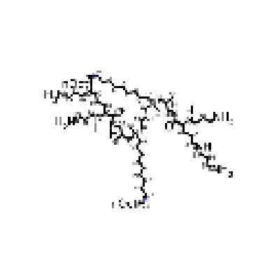 CCCCCCCC/C=C\CCCCCCCC[N+](C)(CCCC[N+](C)(CCCCCCCC/C=C\CCCCCCCC)CC(C)CNC(=O)C(CCCNCCCN)NCCCN)CC(C)CNC(=O)C(CCCNCCCN)NCCCN